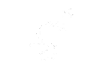 CC[C@H]1OC(=O)C[C@@H](O)[C@H](C)[C@@H](O[C@@H]2O[C@H](C)[C@@H](O)[C@H](N(C)C)[C@H]2O)[C@@H](CC=O)C[C@@H](C)C(=O)/C=C/C(C)=C/[C@@H]1COC1O[C@H](C)[C@@H](O)[C@@H](OC)[C@H]1OC